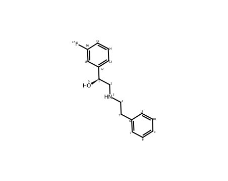 O[C@H](CNCCc1ccccc1)c1cccc(F)c1